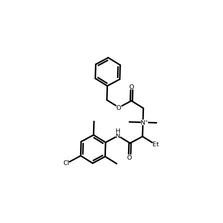 CCC(C(=O)Nc1c(C)cc(Cl)cc1C)[N+](C)(C)CC(=O)OCc1ccccc1